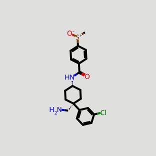 C[S+]([O-])c1ccc(C(=O)N[C@H]2CC[C@](CN)(c3cccc(Cl)c3)CC2)cc1